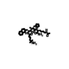 CC(=O)NCCCC[C@H](NC(=O)[C@@H](Cc1cccs1)N(C)C(=O)[C@@H](Cc1ccc2ccccc2c1)NC(=O)C=CCC(C)(C)N)C(N)=O